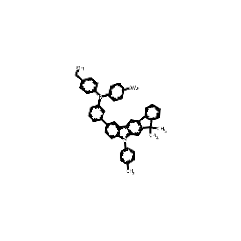 COc1ccc(N(c2ccc(CO)cc2)c2cccc(-c3ccc4c(c3)c3cc5c(cc3n4-c3ccc(C)cc3)C(C)(C)c3ccccc3-5)c2)cc1